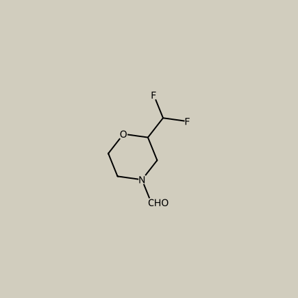 O=CN1CCOC(C(F)F)C1